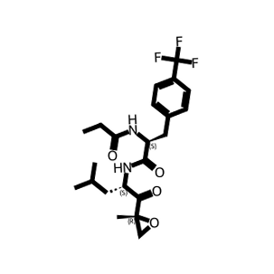 CCC(=O)N[C@@H](Cc1ccc(C(F)(F)F)cc1)C(=O)N[C@@H](CC(C)C)C(=O)[C@@]1(C)CO1